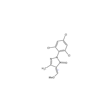 CO/C=C1/C(=O)N(c2c(Cl)cc(Cl)cc2Cl)N=C1C